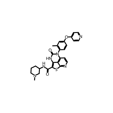 Cc1cc(Oc2ccncc2)ccc1N1C(=O)Nc2c(C(=O)NC3CCCN(C)C3)sc3nccc1c23